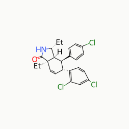 CC[C@H]1NC(=O)[C@]2(CC)C=C[C@@H](c3ccc(Cl)cc3Cl)[C@H](c3ccc(Cl)cc3)[C@H]12